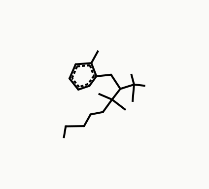 CCCCCC(C)(C)[C](Cc1ccccc1C)C(C)(C)C